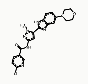 Cn1nc(NC(=O)c2ccc(Cl)nc2)cc1-c1nc2cc(N3CCOCC3)ccc2[nH]1